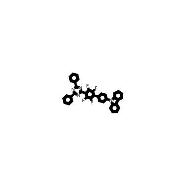 Fc1c(F)c(-c2nc(-c3ccccc3)nc(-c3ccccc3)n2)c(F)c(F)c1-c1ccc(-n2c3ccccc3c3ccccc32)cc1